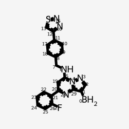 Bc1cnn2c(NCc3ccc(-c4csnn4)cc3)cc(-c3ccccc3F)nc12